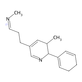 C/N=C\CCC1=CC(C)C(C2=CCCC=C2)N=C1